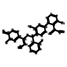 COC(=O)c1c(F)cccc1-c1ccc(C(CC(=NO)c2ccc(=O)n(C)c2)c2ccccc2C)c(F)c1